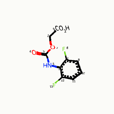 O=C(O)COC(=O)Nc1c(F)cccc1F